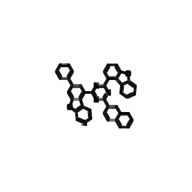 c1ccc(-c2cc(-c3nc(-c4ccc5ccccc5c4)nc(-c4cccc5oc6ccccc6c45)n3)c3c(c2)oc2cnccc23)cc1